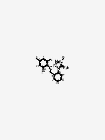 Cc1cc(C)c(OCc2ccccc2-n2nnn(C)c2=O)c(F)c1